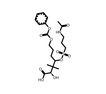 CC(=O)NCCCS(=O)(=O)OC(CCCOC(=O)Oc1ccccc1)C(C)(C)[C@@H](O)C(=O)O